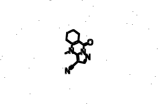 Cn1c2c(c(=O)n3ncc(C#N)c13)CCCC2